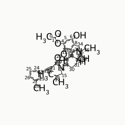 CC(=O)Oc1cc(O)c2c3c1O[C@H]1[C@@H](N(CC(C)C)C(=O)C#Cc4cccc(C)c4)CC[C@H]4[C@@H](C2)N(C)CC[C@@]341